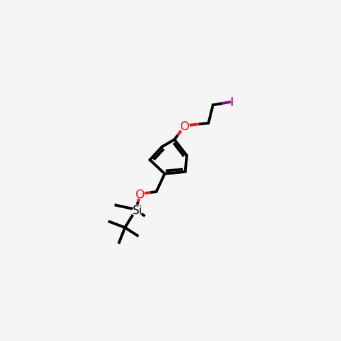 CC(C)(C)[Si](C)(C)OCc1ccc(OCCI)cc1